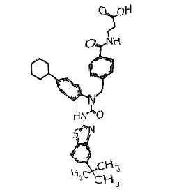 CC(C)(C)c1ccc2sc(NC(=O)N(Cc3ccc(C(=O)NCCC(=O)O)cc3)c3ccc(C4CCCCC4)cc3)nc2c1